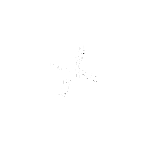 CC1=NOC(C)(CO[Si](CCC(F)(F)C(F)(F)C(F)(F)C(F)(F)C(F)(F)C(F)(F)F)(CCC(F)(F)C(F)(F)C(F)(F)C(F)(F)C(F)(F)C(F)(F)F)CCC(F)(F)C(F)(F)C(F)(F)C(F)(F)C(F)(F)C(F)(F)F)C1